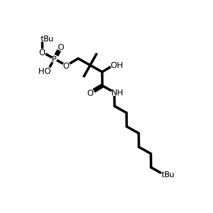 CC(C)(C)CCCCCCCNC(=O)C(O)C(C)(C)COP(=O)(O)OC(C)(C)C